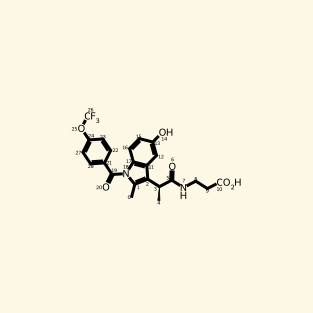 Cc1c([C@H](C)C(=O)NCCC(=O)O)c2cc(O)ccc2n1C(=O)c1ccc(OC(F)(F)F)cc1